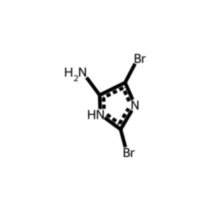 Nc1[nH]c(Br)nc1Br